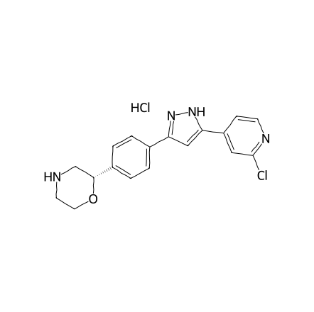 Cl.Clc1cc(-c2cc(-c3ccc([C@H]4CNCCO4)cc3)n[nH]2)ccn1